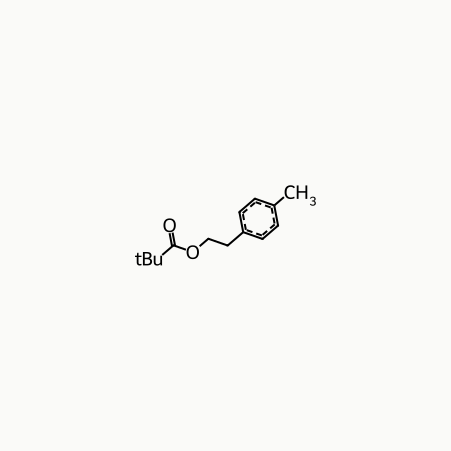 Cc1ccc(CCOC(=O)C(C)(C)C)cc1